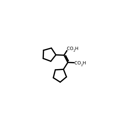 O=C(O)C(=C(C(=O)O)C1CCCC1)C1CCCC1